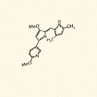 COC1=CC(c2ccc(OC)nc2)=NC1=Cc1[nH]c(C)cc1C